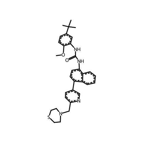 COc1ccc(C(C)(C)C)cc1NC(=O)Nc1ccc(-c2ccc(CN3CCSCC3)nc2)c2ccccc12